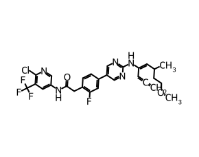 C=C=C/C(=C\C(C)CCOC)Nc1ncc(-c2ccc(CC(=O)Nc3cnc(Cl)c(C(F)(F)F)c3)c(F)c2)cn1